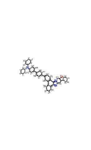 c1ccc(N(c2ccccc2)c2ccc(-c3ccc(-c4ccc5c(c4)c4ccccc4c4nc6cc7c(cn6c54)oc4ccccc47)cc3)cc2)cc1